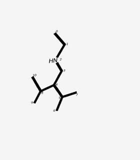 CCNCC(C(C)C)C(C)C